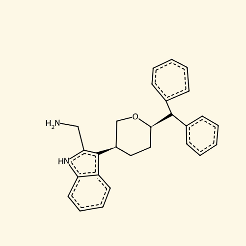 NCc1[nH]c2ccccc2c1[C@@H]1CC[C@H](C(c2ccccc2)c2ccccc2)OC1